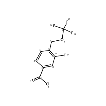 O=C(Cl)c1ccc(COC(F)(F)F)c(F)c1